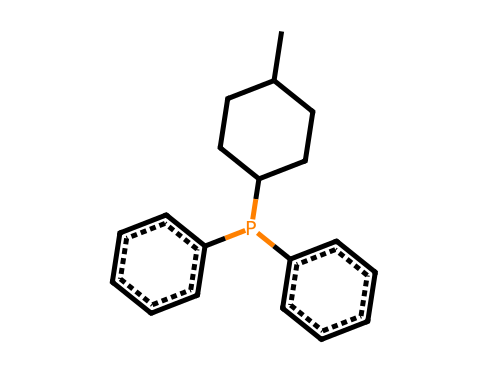 CC1CCC(P(c2ccccc2)c2ccccc2)CC1